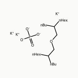 CCCCCCC(CCCC)COCC(CCCC)CCCCCC.O=P([O-])([O-])[O-].[K+].[K+].[K+]